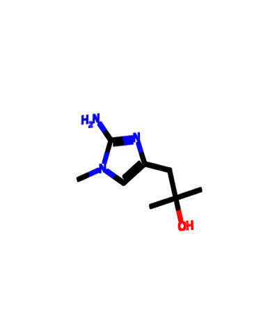 Cn1cc(CC(C)(C)O)nc1N